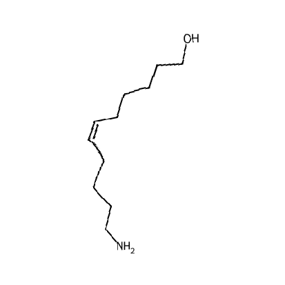 NCCCC/C=C\CCCCCO